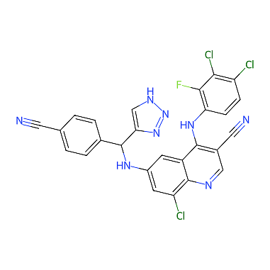 N#Cc1ccc(C(Nc2cc(Cl)c3ncc(C#N)c(Nc4ccc(Cl)c(Cl)c4F)c3c2)c2c[nH]nn2)cc1